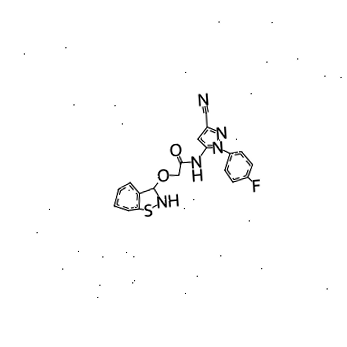 N#Cc1cc(NC(=O)COC2NSc3ccccc32)n(-c2ccc(F)cc2)n1